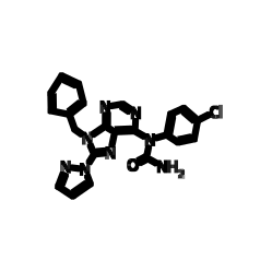 NC(=O)N(c1ccc(Cl)cc1)c1ncnc2c1nc(-n1cccn1)n2Cc1ccccc1